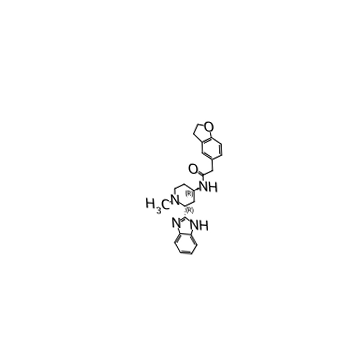 CN1CC[C@@H](NC(=O)Cc2ccc3c(c2)CCO3)C[C@@H]1c1nc2ccccc2[nH]1